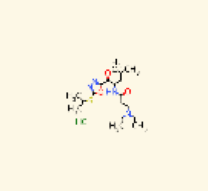 CCN(CC)CCC(=O)NC(CC(C)C)C(=O)c1nnc(SC(C)C)o1.Cl